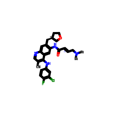 CCN(CC)C/C=C/C(=O)Nc1cc2c(Nc3ccc(F)c(Cl)c3)c(C#N)cnc2cc1C[C@H]1CCOC1